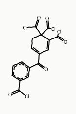 O=C(Cl)C1=CC(C(=O)c2cccc(C(=O)Cl)c2)=CCC1(C(=O)Cl)C(=O)Cl